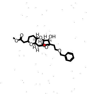 COC(=O)CC1CC[C@@H]2O[C@@H]3[C@H]4OC(CCOCc5ccccc5)(CO[C@H]4[C@H]2O1)[C@@H]3O